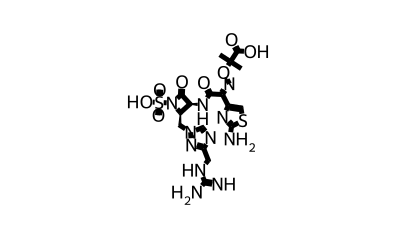 CC(C)(O/N=C(\C(=O)N[C@@H]1C(=O)N(S(=O)(=O)O)[C@@H]1Cn1cnc(CNC(=N)N)n1)c1csc(N)n1)C(=O)O